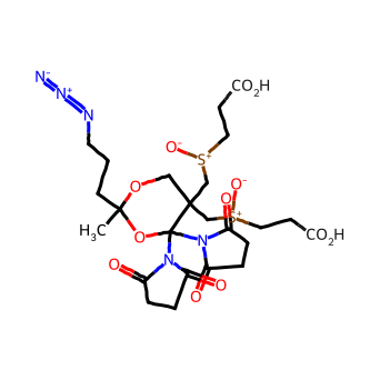 CC1(CCCN=[N+]=[N-])OCC(C[S+]([O-])CCC(=O)O)(C[S+]([O-])CCC(=O)O)C(N2C(=O)CCC2=O)(N2C(=O)CCC2=O)O1